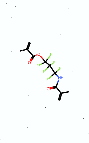 C=C(C)C(=O)NC(F)(F)C(F)(F)C(F)(F)OC(=O)C(=C)C